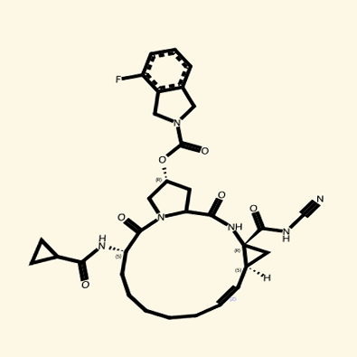 N#CNC(=O)[C@@]12C[C@H]1/C=C\CCCCC[C@H](NC(=O)C1CC1)C(=O)N1C[C@H](OC(=O)N3Cc4cccc(F)c4C3)CC1C(=O)N2